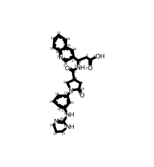 O=C(O)CC(NC(=O)C1CC(=O)N(c2cccc(NC3=NCCCN3)c2)C1)c1cnc2ccccc2c1